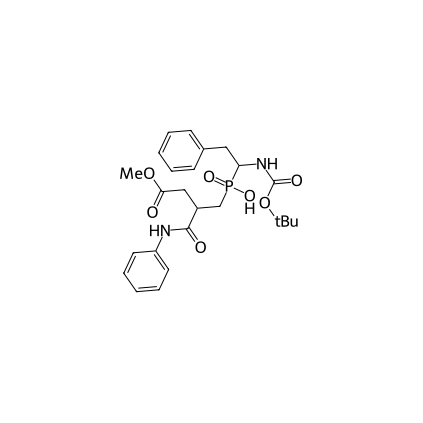 COC(=O)CC(CP(=O)(O)C(Cc1ccccc1)NC(=O)OC(C)(C)C)C(=O)Nc1ccccc1